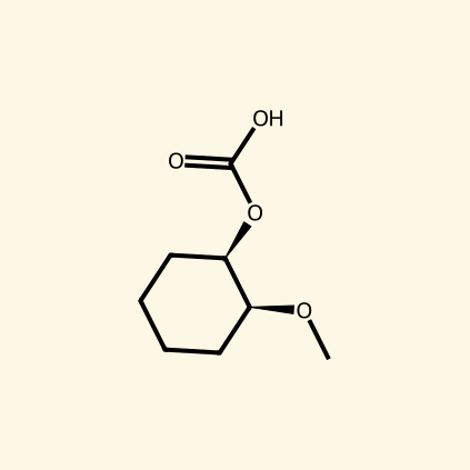 CO[C@H]1CCCC[C@H]1OC(=O)O